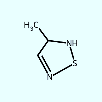 CC1C=NSN1